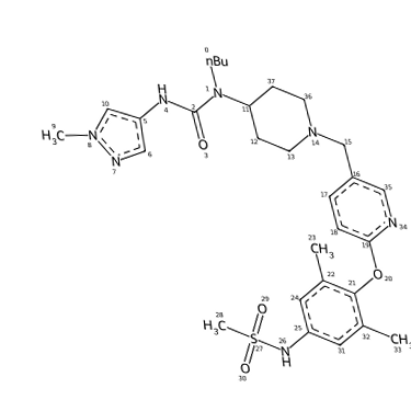 CCCCN(C(=O)Nc1cnn(C)c1)C1CCN(Cc2ccc(Oc3c(C)cc(NS(C)(=O)=O)cc3C)nc2)CC1